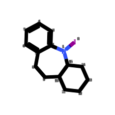 IN1c2ccccc2CCC2CCCCC21